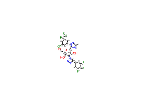 Cc1nc([C@@H]2O[C@H](CO)[C@H](O)[C@H](n3cc(-c4cc(F)c(F)c(F)c4)nn3)[C@H]2O)n(-c2cc(Cl)cc(C(F)(F)F)c2)n1